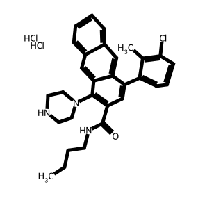 CCCCNC(=O)c1cc(-c2cccc(Cl)c2C)c2cc3ccccc3cc2c1N1CCNCC1.Cl.Cl